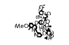 C=C[C@@H]1CC1(NC(=O)[C@@H]1C[C@@H](Oc2cc(-c3ccccn3)nc3c(C)c(OC)ccc23)CN1C(=O)[C@@H](CC(=O)N1CCCC(F)(F)C1)C(C)(C)C)C(=O)N(C1CC1)[SH](=O)=O